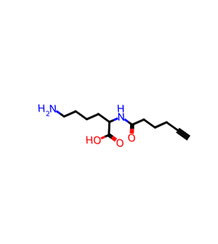 C#CCCCC(=O)NC(CCCCN)C(=O)O